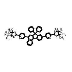 CC1(C)N=C(c2ccc(-c3ccc4c(c3)C(c3ccccc3)(c3ccccc3)c3cc(-c5ccc(C6=NC(C)(C)C(C)(C)S6)nc5)c5ccccc5c3-4)cn2)SC1(C)C